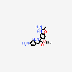 CC1=C(N)Nc2cc(C(N)(Cc3ccc(N)cc3)C(=O)OC(C)(C)C)ccc2O1